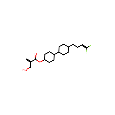 C=C(CO)C(=O)OC1CCC(C2CCC(CCC=C(F)F)CC2)CC1